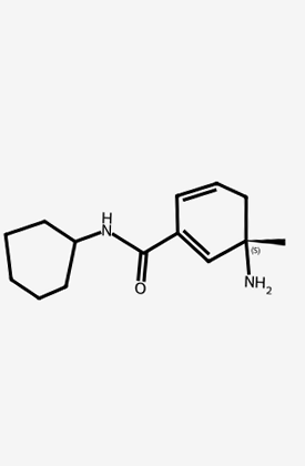 C[C@@]1(N)C=C(C(=O)NC2CCCCC2)C=CC1